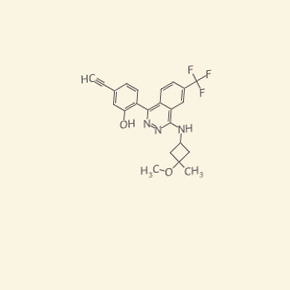 C#Cc1ccc(-c2nnc(NC3CC(C)(OC)C3)c3cc(C(F)(F)F)ccc23)c(O)c1